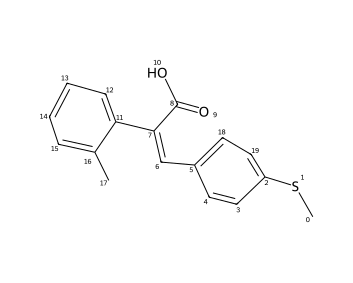 CSc1ccc(C=C(C(=O)O)c2ccccc2C)cc1